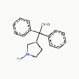 CCN1CCC(C(C=O)(c2ccccc2)c2ccccc2)C1